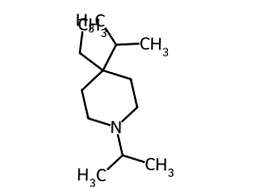 CCC1(C(C)C)CCN(C(C)C)CC1